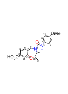 COc1ccc(NC(=O)N2Cc3ccc(C(=O)O)cc3O[C@H](C)C2)cc1